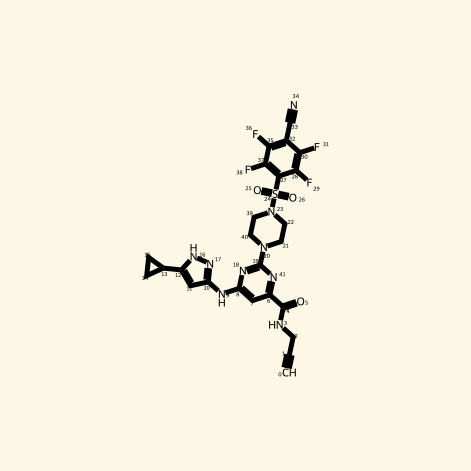 C#CCNC(=O)c1cc(Nc2cc(C3CC3)[nH]n2)nc(N2CCN(S(=O)(=O)c3c(F)c(F)c(C#N)c(F)c3F)CC2)n1